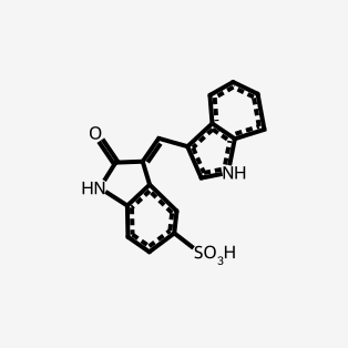 O=C1Nc2ccc(S(=O)(=O)O)cc2/C1=C\c1c[nH]c2ccccc12